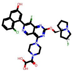 O=C(C(O)O)N1CCN(c2nc(OC[C@@]34CCCN3C[C@H](F)C4)nc3c(F)c(-c4cc(O)cc5cccc(Cl)c45)ncc23)CC1